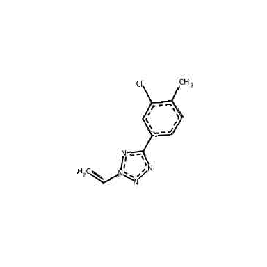 C=Cn1nnc(-c2ccc(C)c(Cl)c2)n1